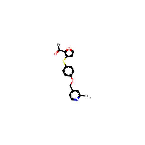 CCC(=O)c1occc1Sc1ccc(OCc2ccnc(C)c2)cc1